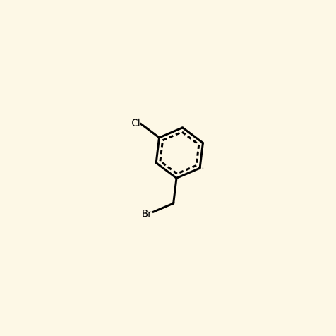 Clc1cc[c]c(CBr)c1